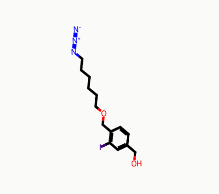 [N-]=[N+]=NCCCCCCOCc1ccc(CO)cc1I